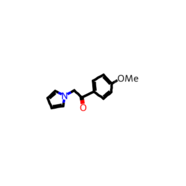 COc1ccc(C(=O)Cn2cccc2)cc1